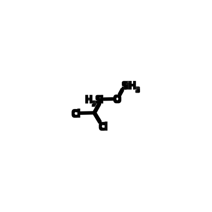 [SiH3]O[SiH2]C(Cl)Cl